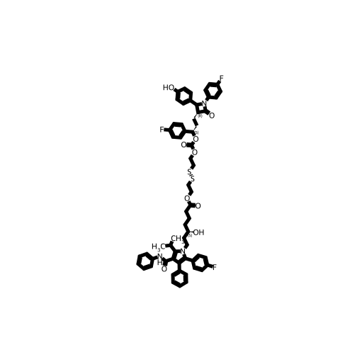 CC(C)c1c(C(=O)Nc2ccccc2)c(-c2ccccc2)c(-c2ccc(F)cc2)n1CC[C@@H](O)CCCC(=O)OCCSSCCOC(=O)O[C@@H](CC[C@H]1C(=O)N(c2ccc(F)cc2)C1c1ccc(O)cc1)c1ccc(F)cc1